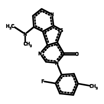 Cc1ccc(F)c(-n2cnc3c(sc4nccc(N(C)C)c43)c2=O)c1